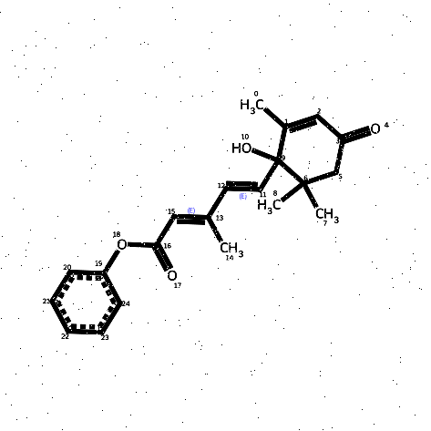 CC1=CC(=O)CC(C)(C)C1(O)/C=C/C(C)=C/C(=O)Oc1ccccc1